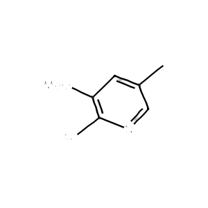 COc1cc(C)cnc1C(C)=O